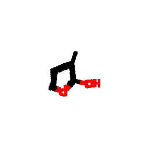 Cc1ccoc1O